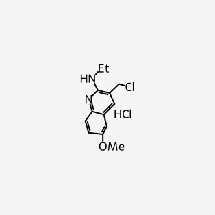 CCNc1nc2ccc(OC)cc2cc1CCl.Cl